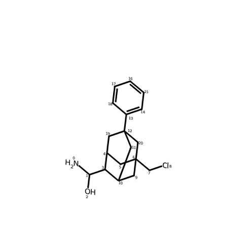 NC(O)C1C2CC3(CCl)CC1CC(c1ccccc1)(C2)C3